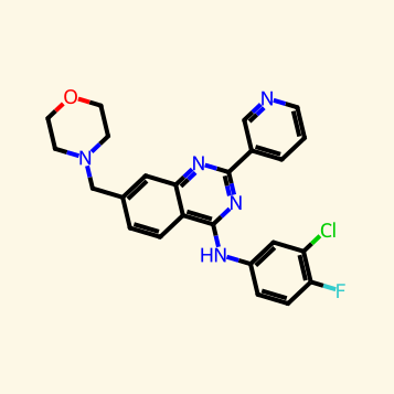 Fc1ccc(Nc2nc(-c3cccnc3)nc3cc(CN4CCOCC4)ccc23)cc1Cl